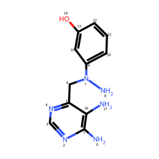 Nc1ncnc(CN(N)c2cccc(O)c2)c1N